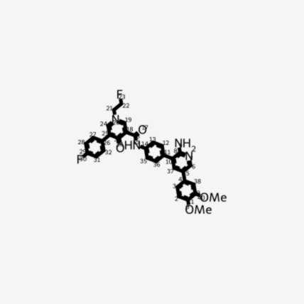 COc1ccc(-c2cnc(N)c(-c3ccc(NC(=O)c4cn(CCF)cc(-c5ccc(F)cc5)c4=O)cc3)c2)cc1OC